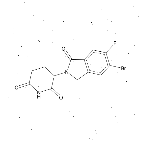 O=C1CCC(N2Cc3cc(Br)c(F)cc3C2=O)C(=O)N1